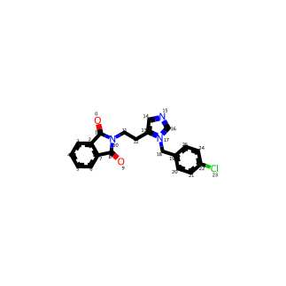 O=C1c2ccccc2C(=O)N1CCc1cncn1Cc1ccc(Cl)cc1